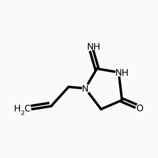 C=CCN1CC(=O)NC1=N